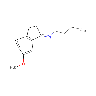 CCCC/N=C1\CCc2ccc(OC)cc21